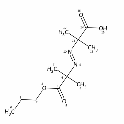 CCCOC(=O)C(C)(C)N=NC(C)(C)C(=O)O